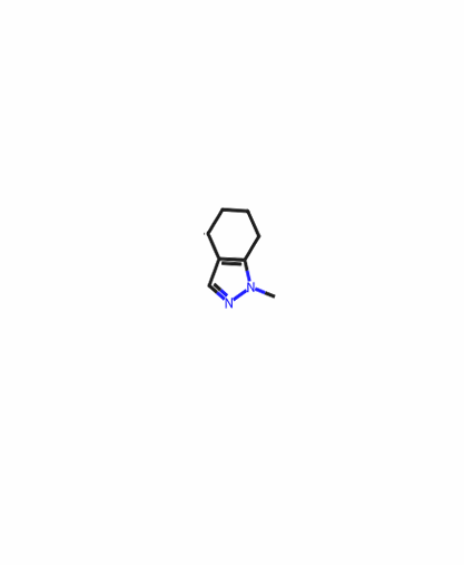 Cn1ncc2c1CCC[CH]2